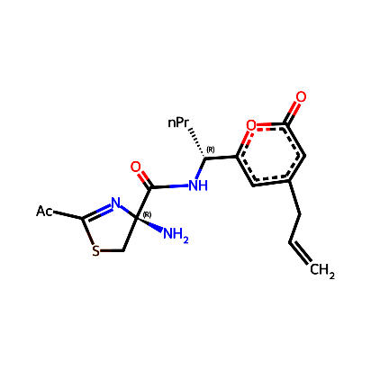 C=CCc1cc([C@@H](CCC)NC(=O)[C@]2(N)CSC(C(C)=O)=N2)oc(=O)c1